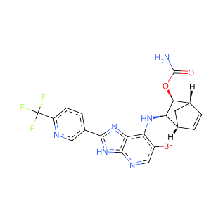 NC(=O)O[C@@H]1[C@H](Nc2c(Br)cnc3[nH]c(-c4ccc(C(F)(F)F)nc4)nc23)[C@H]2C=C[C@@H]1C2